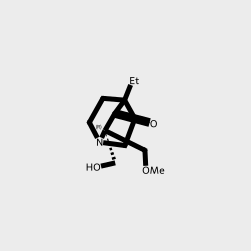 CCC12CCN(CC1)[C@](CO)(COC)C2=O